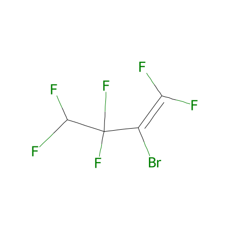 FC(F)=C(Br)C(F)(F)C(F)F